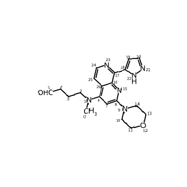 CN(CCCC=O)c1cc(N2CCOCC2)nc2c(-c3ccn[nH]3)nccc12